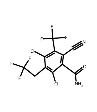 N#Cc1c(C(N)=O)c(Cl)c([CH]C(F)(F)F)c(Cl)c1C(F)(F)F